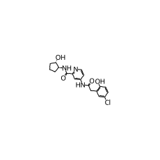 O=C(Cc1cc(Cl)ccc1O)Nc1ccnc(C(=O)N[C@H]2CCC[C@@H]2O)c1